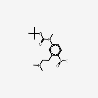 CN(C)CCc1cc(N(C)C(=O)OC(C)(C)C)ccc1[N+](=O)[O-]